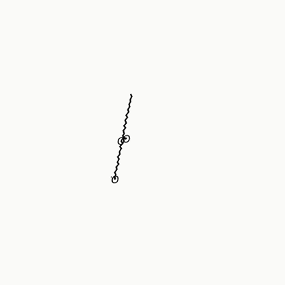 CCCCCCCCCCCCCCCCCC(=O)OCCCCCCCCCCCCC[C]=O